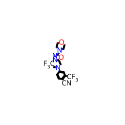 N#Cc1ccc(N(Cc2nnc(N3CCOCC3)o2)CC(F)(F)F)cc1C(F)(F)F